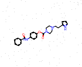 O=C(Nc1ccc(OC(=O)N2CCN(CCc3ccc[nH]3)CC2)cc1)c1ccccc1